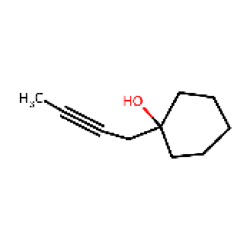 CC#CCC1(O)CCCCC1